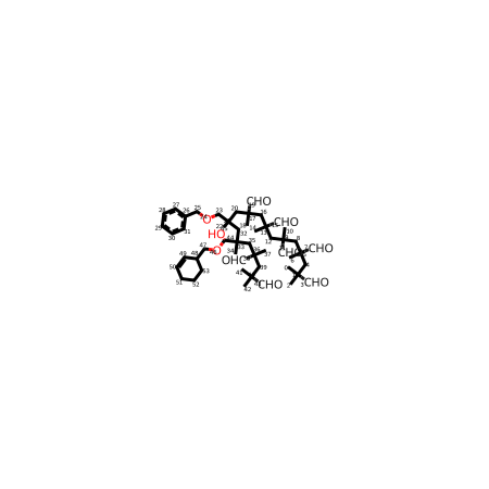 CC(C)(C=O)CC(C)(C=O)CC(C)(C=O)CC(C)(C=O)CC(C)(C=O)CC(C)(COCc1ccccc1)CC(C)(CC(C)(C=O)CC(C)(C)C=O)C(O)OCC1C=CCCC1